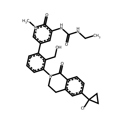 CCNC(=O)Nc1cc(-c2cccc(N3CCc4cc(C5(Cl)CC5)ccc4C3=O)c2CO)cn(C)c1=O